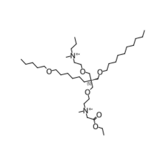 CCCCCCCCCCOC[C@@](CCCCCCOCCCCC)(COCC[N+](C)(C)CCC)COCC[N+](C)(C)CC(=O)OCC